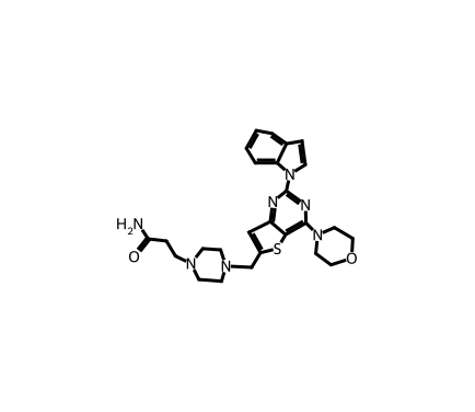 NC(=O)CCN1CCN(Cc2cc3nc(-n4ccc5ccccc54)nc(N4CCOCC4)c3s2)CC1